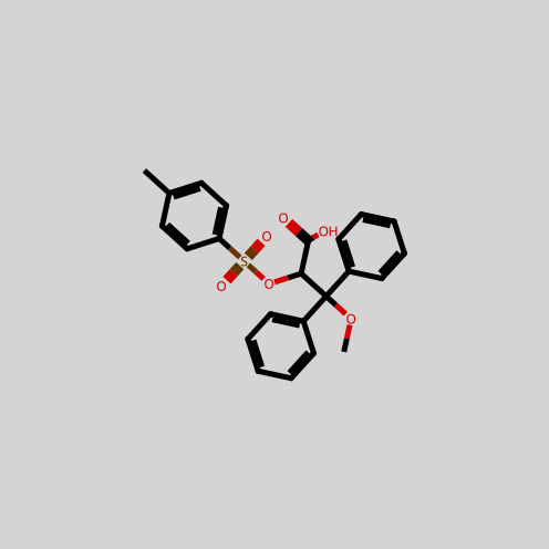 COC(c1ccccc1)(c1ccccc1)C(OS(=O)(=O)c1ccc(C)cc1)C(=O)O